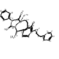 CC1c2ccc(OCc3ccccn3)c(Br)c2C[C@H]2C(=O)N(c3ccccc3)C(=O)N12